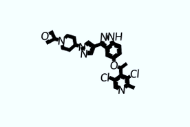 Cc1ncc(Cl)c(C(C)Oc2ccc3[nH]nc(-c4cnn(C5CCN(C6COC6)CC5)c4)c3c2)c1Cl